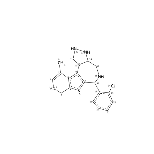 CC1=CNCc2sc3c(c21)N1CNNC1CNC3c1ccccc1Cl